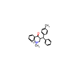 Cc1ccc(C(c2ccccc2)C(CN(C)C)C(=O)c2ccccc2)cc1